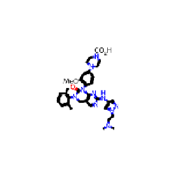 COc1cc(N2CCN(C(=O)O)CC2)ccc1N1C(=O)N(c2c(C)cccc2C)Cc2cnc(Nc3cnn(CCN(C)C)c3)nc21